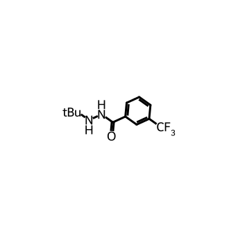 CC(C)(C)NNC(=O)c1cccc(C(F)(F)F)c1